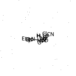 CCOOSN1CCN(CCCCNC(=O)N2CCN3C(=O)N(c4ccc(C#N)c(Cl)c4C)C[C@@H]3C2)CC1